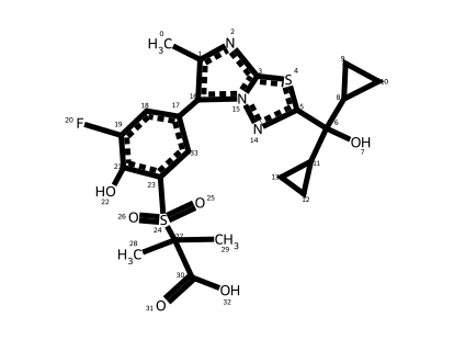 Cc1nc2sc(C(O)(C3CC3)C3CC3)nn2c1-c1cc(F)c(O)c(S(=O)(=O)C(C)(C)C(=O)O)c1